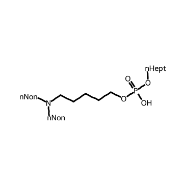 CCCCCCCCCN(CCCCCCCCC)CCCCCOP(=O)(O)OCCCCCCC